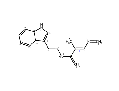 C=N/C=C(\C)C(=C)NCCC1=CNC2C=CC=CC12